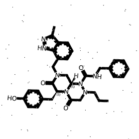 CCCN1CC(=O)N2[C@@H](Cc3ccc(O)cc3)C(=O)N(Cc3cccc4c(C)n[nH]c34)C[C@@H]2N1C(=O)NCc1ccccc1